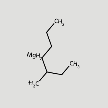 [CH2]C(CC)CCCC.[MgH2]